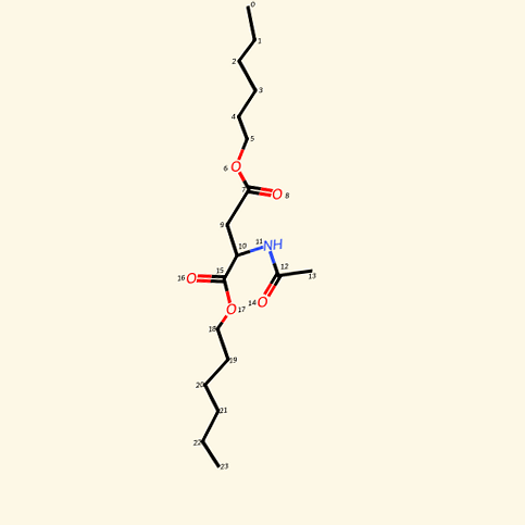 CCCCCCOC(=O)CC(NC(C)=O)C(=O)OCCCCCC